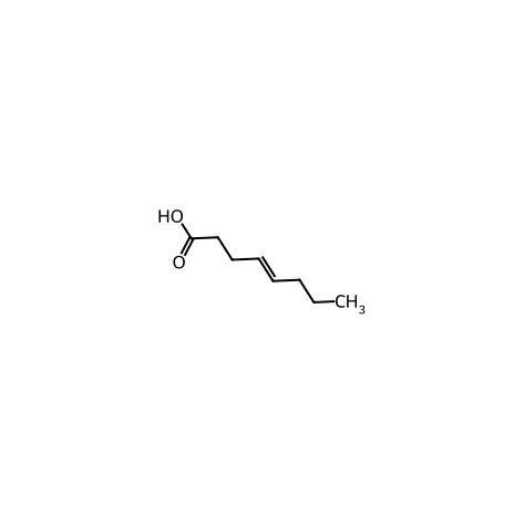 CCC/C=C/CCC(=O)O